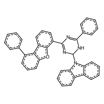 c1ccc(C2=NC(c3cccc4c3oc3cccc(-c5ccccc5)c34)=NC(n3c4ccccc4c4ccccc43)N2)cc1